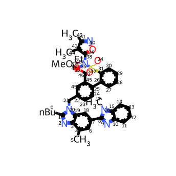 CCCCc1nc2c(C)cc(-c3nc4ccccc4n3C)cc2n1Cc1ccc(-c2ccccc2S(=O)(=O)N(COC)c2onc(C)c2C)c(COCC)c1